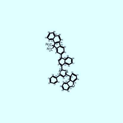 CC1(C)c2cc(-c3ccc(-c4nc(-c5ccccc5)cc(-c5cccc6oc7ccccc7c56)n4)c4ccccc34)ccc2-c2ccc3ccccc3c21